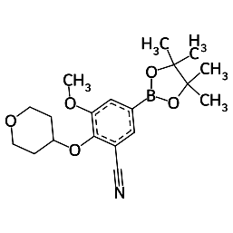 COc1cc(B2OC(C)(C)C(C)(C)O2)cc(C#N)c1OC1CCOCC1